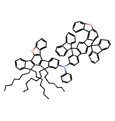 CCCCCCCC1(CCCCCCC)c2ccccc2-c2c1c1c(c3c2oc2ccccc23)-c2ccc(N(c3ccccc3)c3ccc4c(c3)C3(c5ccccc5-c5ccccc53)c3cc5c(cc3-4)C3(c4ccccc4-c4ccccc43)c3ccc4oc6ccccc6c4c3-5)cc2C1(CCCCCCC)CCCCCCC